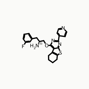 N[C@H](COc1nc(-c2ccncc2)nc2sc3c(c12)CCCC3)Cc1cccc(F)c1